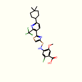 COc1cc(C(=O)O)c(F)cc1NSc1csc(-c2ccc(C3CCC(C)(C)CC3)nc2C(F)(F)F)n1